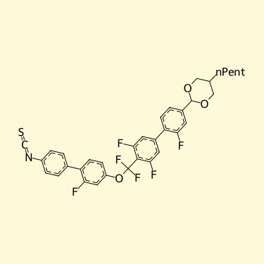 CCCCCC1COC(c2ccc(-c3cc(F)c(C(F)(F)Oc4ccc(-c5ccc(N=C=S)cc5)c(F)c4)c(F)c3)c(F)c2)OC1